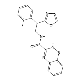 Cc1ccccc1C(CNC(=O)C1=Nc2ccccc2SN1)c1ncco1